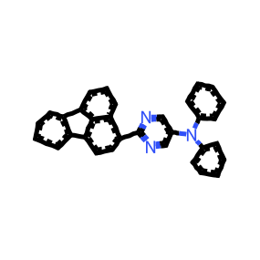 c1ccc(N(c2ccccc2)c2cnc(-c3ccc4c5c(cccc35)-c3ccccc3-4)nc2)cc1